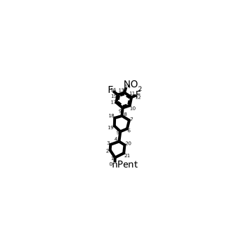 CCCCCC1CCC(C2CCC(c3cc(F)c([N+](=O)[O-])c(F)c3)CC2)CC1